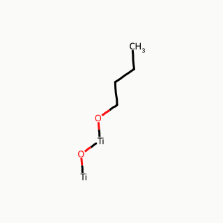 CCCC[O][Ti][O][Ti]